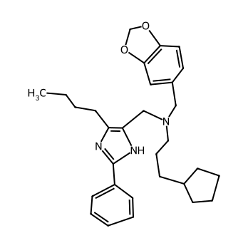 CCCCc1nc(-c2ccccc2)[nH]c1CN(CCCC1CCCC1)Cc1ccc2c(c1)OCO2